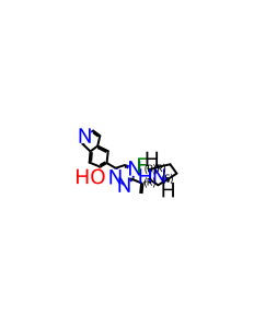 C=C(c1ncc(-c2cc3ccncc3cc2O)nn1)[C@H]1C[C@@H]2CC[C@@H](N2)[C@@H]1F